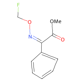 COC(=O)C(=NOCF)c1ccccc1